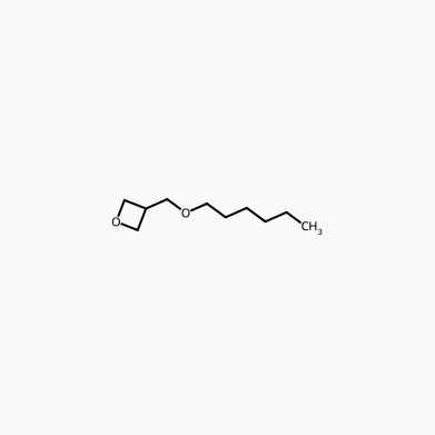 CCCCCCOCC1COC1